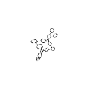 C1=CCCC(C2=CCC(N(C3=CCC(C4=C(c5ccc(N(C6=CCC(c7ccccc7)C=C6)C6=CC7=C[C@@H]7C=C6)cc5)CCC=C4)C=C3)c3ccccc3)CC2C2C=CC=CC2)=C1